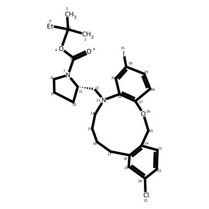 CCC(C)(C)OC(=O)N1CCC[C@H]1CN1CCCCc2cc(Cl)ccc2COc2ccc(I)cc21